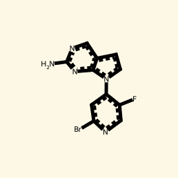 Nc1ncc2ccn(-c3cc(Br)ncc3F)c2n1